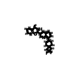 CC(NC(=O)c1cnc2c(C3=CCC4(CC3)CC(F)(F)C4)cccc2c1)c1ccccn1